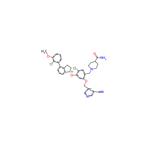 COc1cccc(-c2cccc3c2CC[C@@H]3Oc2cc(OCc3cncc(C#N)c3)c(CN3CCC(C(N)=O)CC3)cc2Cl)c1Cl